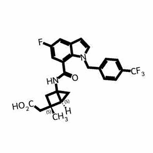 C[C@@]1(CC(=O)O)CC2(NC(=O)c3cc(F)cc4ccn(Cc5ccc(C(F)(F)F)cc5)c34)C[C@H]21